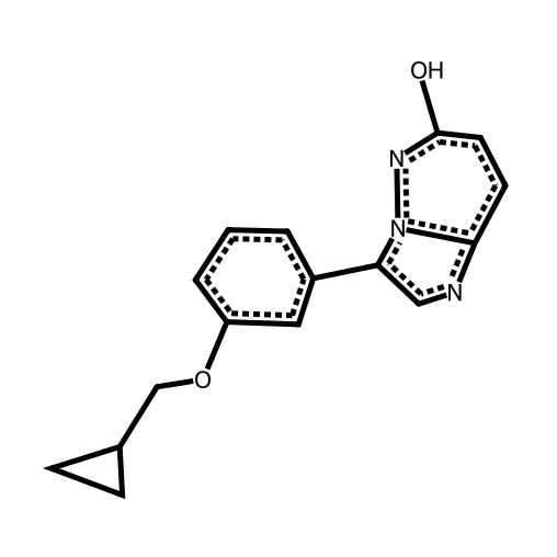 Oc1ccc2ncc(-c3cccc(OCC4CC4)c3)n2n1